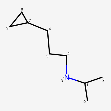 CC(C)[N]CCCC1CC1